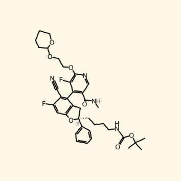 CNC(=O)c1cnc(OCCOC2CCCCO2)c(F)c1-c1c(C#N)c(F)cc2c1C[C@@](CCCCNC(=O)OC(C)(C)C)(c1ccccc1)O2